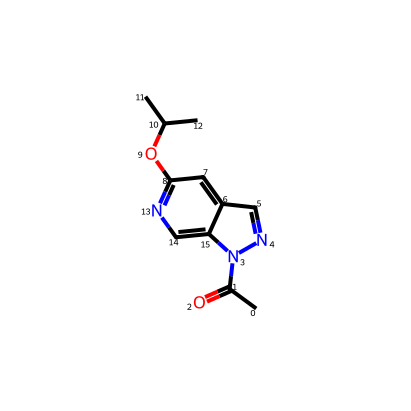 CC(=O)n1ncc2cc(OC(C)C)ncc21